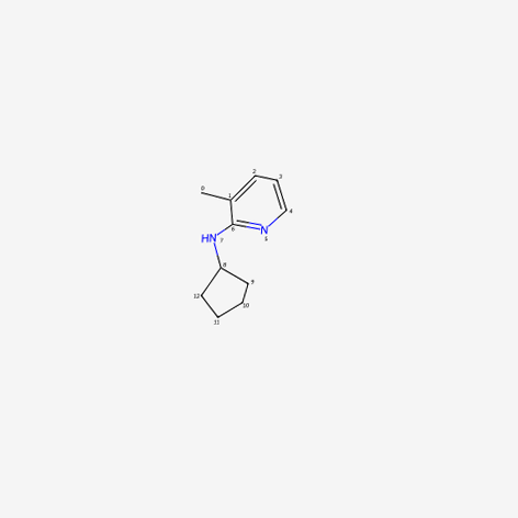 Cc1cccnc1NC1CCCC1